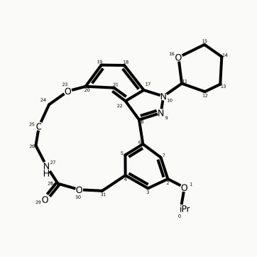 CC(C)Oc1cc2cc(c1)-c1nn(C3CCCCO3)c3ccc(cc13)OCCCNC(=O)OC2